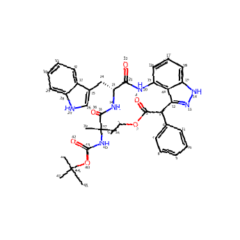 CCOC(=O)C(c1ccccc1)c1n[nH]c2cccc(NC(=O)[C@@H](Cc3c[nH]c4ccccc34)NC(=O)C(C)(C)NC(=O)OC(C)(C)C)c12